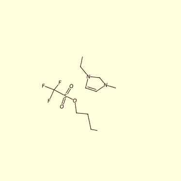 CCCCOS(=O)(=O)C(F)(F)F.CCN1C=CN(C)C1